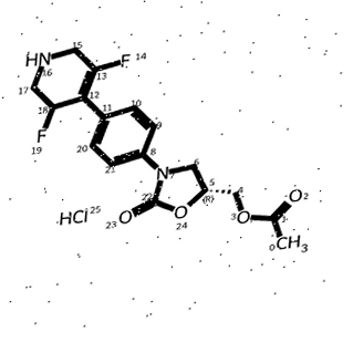 CC(=O)OC[C@H]1CN(c2ccc(C3=C(F)CNCC3F)cc2)C(=O)O1.Cl